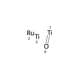 [O]=[Ti].[Ru].[Ti]